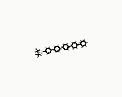 CC1(C)OB(c2ccc(-c3ccc(-c4ccc(-c5ccc(-c6ccccc6)cc5)cc4)cc3)cc2)OC1(C)C